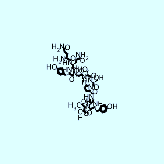 C[C@@H](O)[C@H](NC(=O)[C@H](Cc1ccc(O)cc1)NC(=O)CNC(=O)[C@@H]1CCCN1C(=O)[C@H](CO)NC(=O)[C@H](CO)NC(=O)CNC(=O)[C@H](Cc1ccc(O)cc1)NC(=O)[C@H](CCC(N)=O)NC(=O)[C@@H](N)CCC(N)=O)C(=O)O